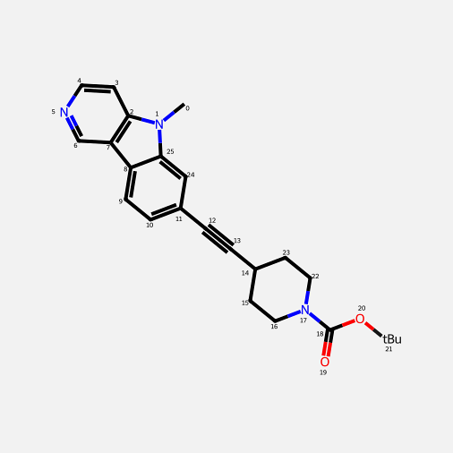 Cn1c2ccncc2c2ccc(C#CC3CCN(C(=O)OC(C)(C)C)CC3)cc21